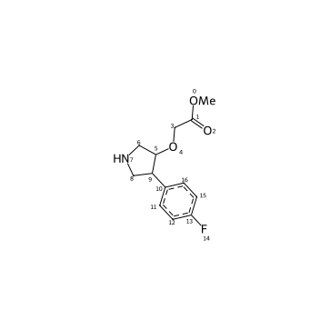 COC(=O)COC1CNCC1c1ccc(F)cc1